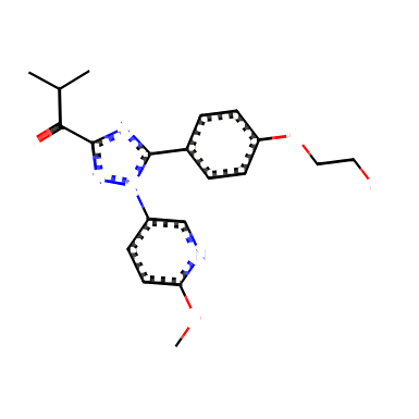 COc1ccc(-n2nc(C(=O)C(C)C)nc2-c2ccc(OCCO)cc2)cn1